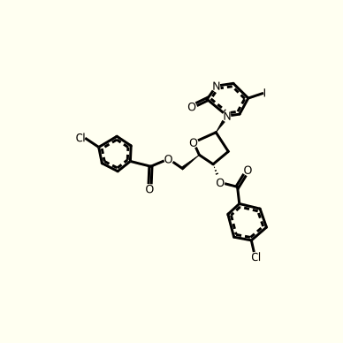 O=C(OC[C@H]1O[C@@H](n2cc(I)cnc2=O)C[C@@H]1OC(=O)c1ccc(Cl)cc1)c1ccc(Cl)cc1